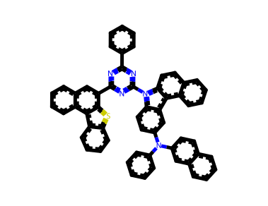 c1ccc(-c2nc(-c3cc4ccccc4c4c3sc3ccccc34)nc(-n3c4ccc(N(c5ccccc5)c5ccc6ccccc6c5)cc4c4c5ccccc5ccc43)n2)cc1